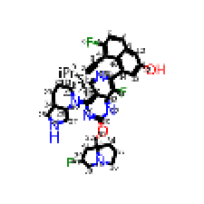 CC(C)[Si](C#Cc1c(F)ccc2cc(O)cc(-c3ncc4c(N5CCCC6CNCC65)nc(OC[C@@]56CCCN5C[C@H](F)C6)nc4c3F)c12)(C(C)C)C(C)C